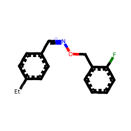 CCc1ccc(/[C]=N\OCc2ccccc2F)cc1